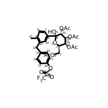 CC(=O)OC[C@H]1O[C@@](O)(c2ccc(C)c(Cc3ccc(OS(=O)(=O)C(F)(F)F)cc3)c2)[C@H](OC(C)=O)[C@@H](OC(C)=O)[C@@H]1OC(C)=O